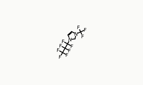 FC(F)(F)N1C=CN(C(F)(F)C(F)(F)C(F)(F)F)C1